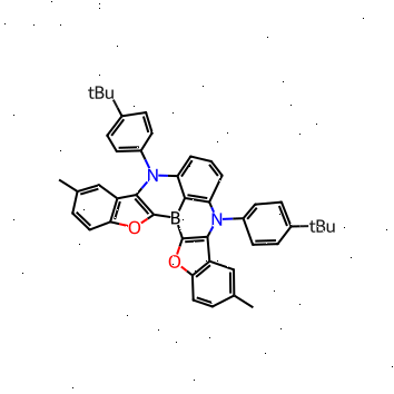 Cc1ccc2oc3c(c2c1)N(c1ccc(C(C)(C)C)cc1)c1cccc2c1B3c1oc3ccc(C)cc3c1N2c1ccc(C(C)(C)C)cc1